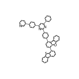 c1ccc(-c2cc(-c3ccc(-c4cccnc4)cc3)nc(-c3ccc(-c4ccc(-c5cccc6c5sc5ccccc56)c5oc6ccccc6c45)cc3)n2)cc1